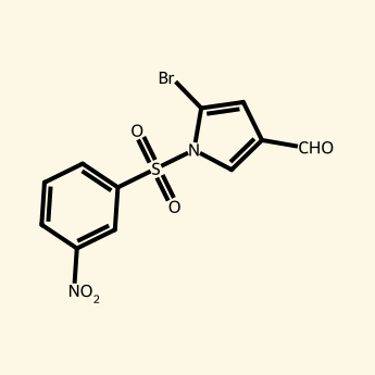 O=Cc1cc(Br)n(S(=O)(=O)c2cccc([N+](=O)[O-])c2)c1